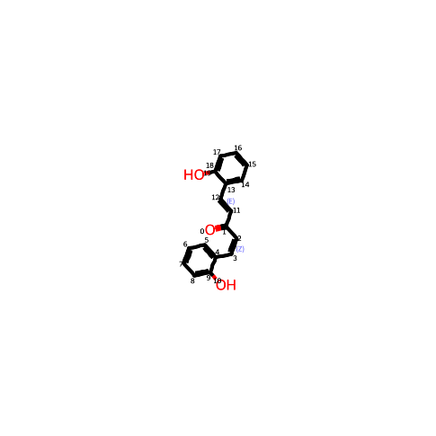 O=C(/C=C\c1ccccc1O)/C=C/c1ccccc1O